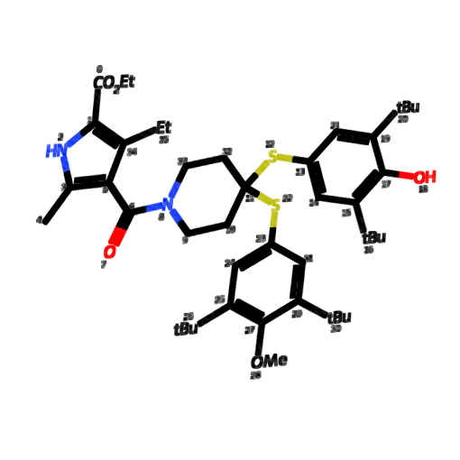 CCOC(=O)c1[nH]c(C)c(C(=O)N2CCC(Sc3cc(C(C)(C)C)c(O)c(C(C)(C)C)c3)(Sc3cc(C(C)(C)C)c(OC)c(C(C)(C)C)c3)CC2)c1CC